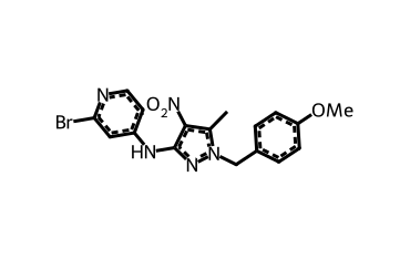 COc1ccc(Cn2nc(Nc3[c]cnc(Br)c3)c([N+](=O)[O-])c2C)cc1